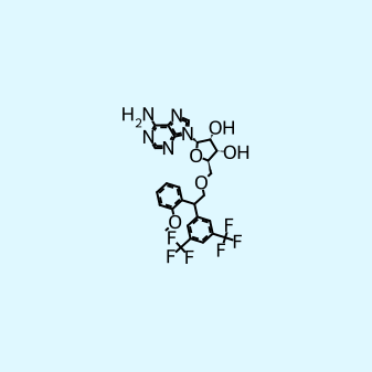 COc1ccccc1C(COC[C@H]1O[C@@H](n2cnc3c(N)ncnc32)[C@H](O)[C@@H]1O)c1cc(C(F)(F)F)cc(C(F)(F)F)c1